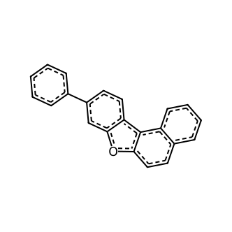 c1ccc(-c2ccc3c(c2)oc2ccc4ccccc4c23)cc1